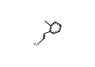 Cc1ccc[c]c1C=C[N+](=O)[O-]